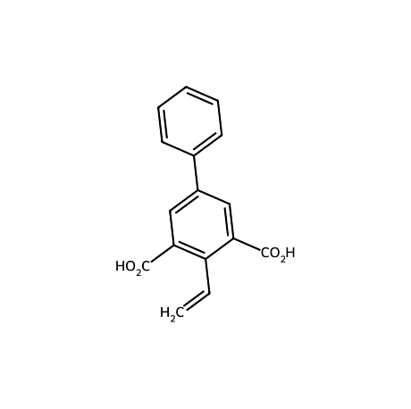 C=Cc1c(C(=O)O)cc(-c2ccccc2)cc1C(=O)O